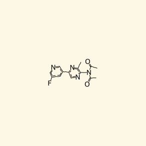 CC(=O)N(C(C)=O)c1ncc(-c2cncc(F)c2)nc1C